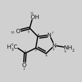 CC(=O)c1cn(N)nc1C(=O)O